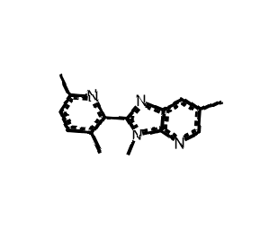 Cc1cnc2c(c1)nc(-c1nc(C)ccc1C)n2C